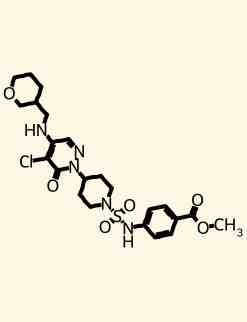 COC(=O)c1ccc(NS(=O)(=O)N2CCC(n3ncc(NCC4CCCOC4)c(Cl)c3=O)CC2)cc1